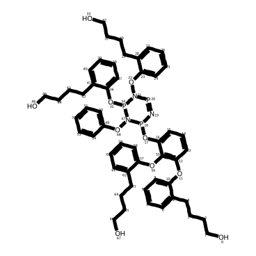 OCCCCc1ccccc1Oc1cccc(Op2npn(Oc3ccccc3CCCCO)p(Oc3ccccc3CCCCO)n2Oc2ccccc2)c1Oc1ccccc1CCCCO